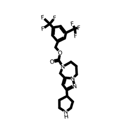 O=C(OCc1cc(C(F)(F)F)cc(C(F)(F)F)c1)N1CCCn2nc(C3CCNCC3)cc2C1